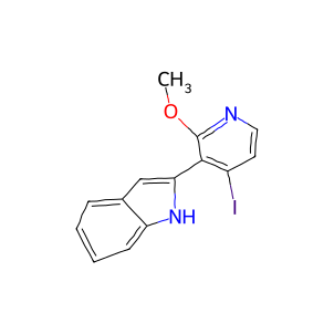 COc1nccc(I)c1-c1cc2ccccc2[nH]1